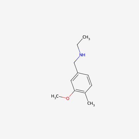 CCNCc1ccc(C)c(OC)c1